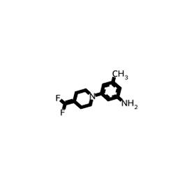 Cc1cc(N)cc(N2CCC(=C(F)F)CC2)c1